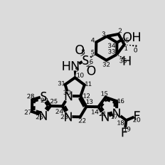 C[C@H]1CC2C[C@@H](S(=O)(=O)N[C@H]3CC4=C(c5ccn(C(F)F)n5)CN=C(c5nccs5)N4C3)C[C@H]1C2O